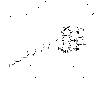 CCCCCCCCCCCCCCCc1cccc(OC)c1C1C(C(=O)O)=C(C)NC(=S)N1C(=O)O